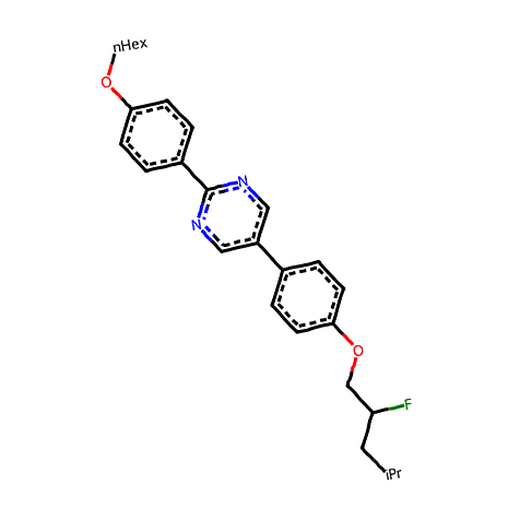 CCCCCCOc1ccc(-c2ncc(-c3ccc(OCC(F)CC(C)C)cc3)cn2)cc1